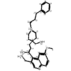 COc1ccc2ncc(CN)c([C@@H](O)CCC3(CO)CCN(CCCc4ccccc4)CC3)c2c1